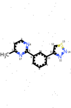 Cc1ccnc(-c2cccc(-c3csnn3)c2)n1